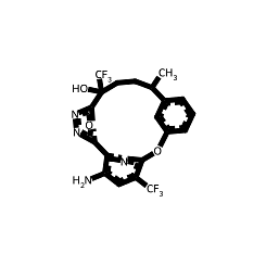 CC1CCC(O)(C(F)(F)F)c2nnc(o2)-c2nc(c(C(F)(F)F)cc2N)Oc2cccc1c2